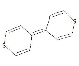 C1=CC(=C2C=CSC=C2)C=CS1